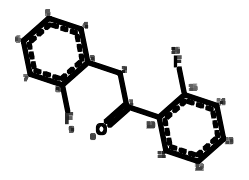 O=C(Cc1ccccc1F)c1ccccc1F